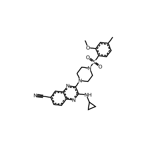 COc1cc(C)ccc1S(=O)(=O)N1CCN(c2nc3cc(C#N)ccc3nc2NC2CC2)CC1